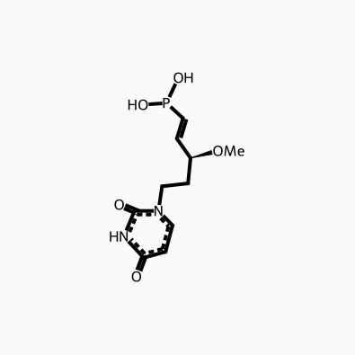 CO[C@H](/C=C/P(O)O)CCn1ccc(=O)[nH]c1=O